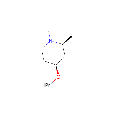 CC(C)O[C@H]1CCN(I)[C@@H](C)C1